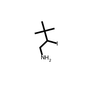 CC(C)(C)C(I)CN